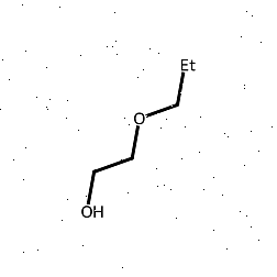 [CH2]CCOCCO